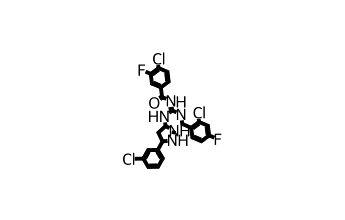 O=C(/N=C(/NCc1ccc(F)cc1Cl)NC1CC(c2cccc(Cl)c2)NN1)c1ccc(Cl)c(F)c1